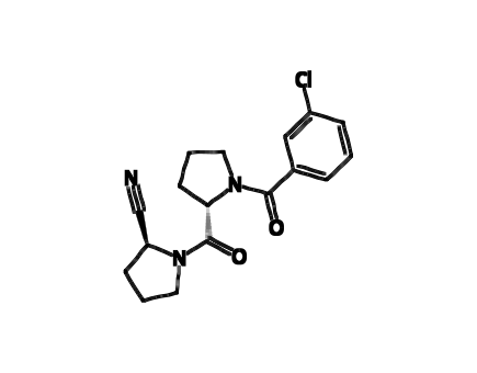 N#C[C@@H]1CCCN1C(=O)[C@@H]1CCCN1C(=O)c1cccc(Cl)c1